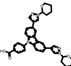 O=C(O)c1ccc(-n2c3ccc(-c4cnn(C5CCCCO5)c4)cc3c3cc(-c4cnn(C5CCCCO5)c4)ccc32)cc1